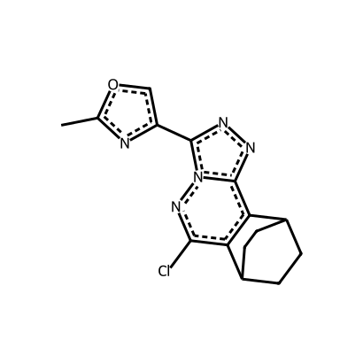 Cc1nc(-c2nnc3c4c(c(Cl)nn23)C2CCC4CC2)co1